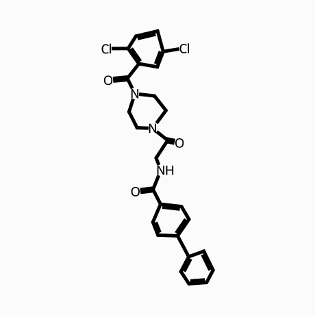 O=C(NCC(=O)N1CCN(C(=O)c2cc(Cl)ccc2Cl)CC1)c1ccc(-c2ccccc2)cc1